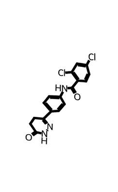 O=C1CCC(c2ccc(NC(=O)c3ccc(Cl)cc3Cl)cc2)=NN1